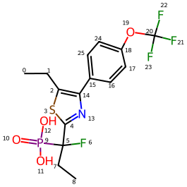 CCc1sc(C(F)(CC)P(=O)(O)O)nc1-c1ccc(OC(F)(F)F)cc1